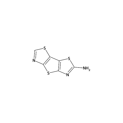 Nc1nc2sc3ncsc3c2s1